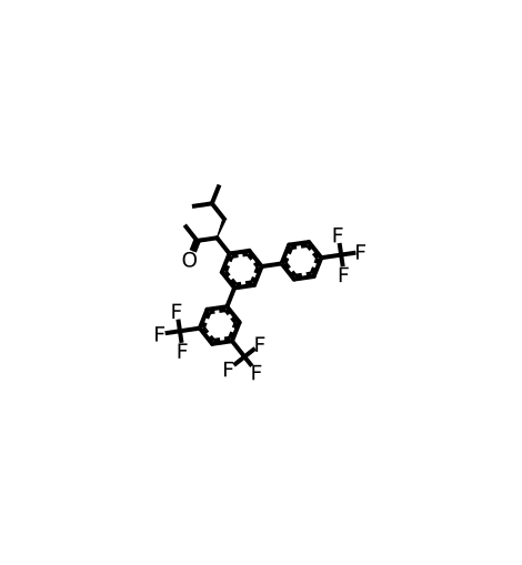 CC(=O)[C@@H](CC(C)C)c1cc(-c2ccc(C(F)(F)F)cc2)cc(-c2cc(C(F)(F)F)cc(C(F)(F)F)c2)c1